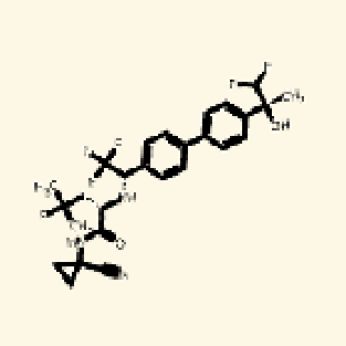 CC(C)(F)C[C@H](N[C@@H](c1ccc(-c2ccc([C@@](C)(O)C(F)F)cc2)cc1)C(F)(F)F)C(=O)NC1(C#N)CC1